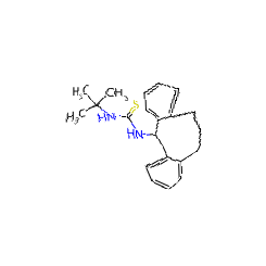 CC(C)(C)NC(=S)NC1c2ccccc2CCCc2ccccc21